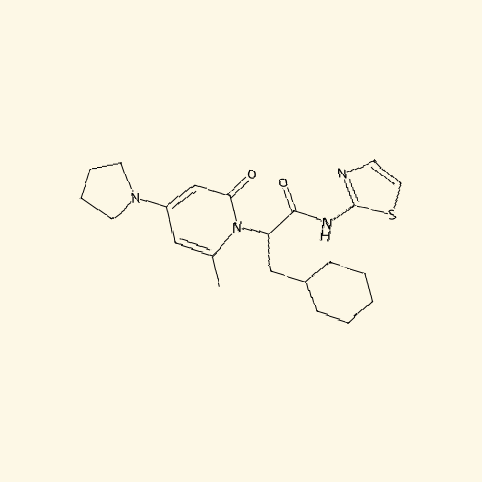 Cc1cc(N2CCCC2)cc(=O)n1C(CC1CCCCC1)C(=O)Nc1nccs1